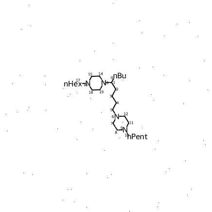 [CH2]CCCC(CCCCN1CCN(CCCCC)CC1)N1CCN(CCCCCC)CC1